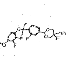 CCCC1(F)COC(c2ccc(C(F)(F)Oc3ccc(OCC)c(F)c3F)c(F)c2)OC1